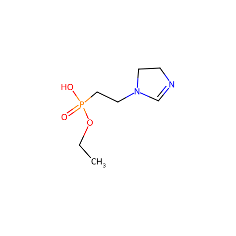 CCOP(=O)(O)CCN1C=NCC1